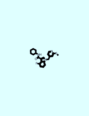 CSc1cc(Cn2cc(C(=O)NC3CCCCC3)c3c(F)cccc32)ccn1